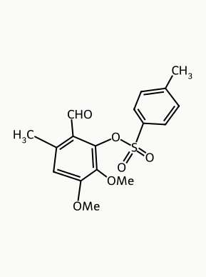 COc1cc(C)c(C=O)c(OS(=O)(=O)c2ccc(C)cc2)c1OC